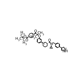 CC(C)(C)OC(=O)N1CCN(C(=O)C(C)(C)Oc2cccc(N3CCC[C@@H](C(=O)N(Cc4ccc(-c5cn[nH]c5)cc4)C4CC4)C3)c2)CC1